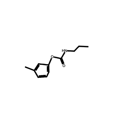 CCCNC(=O)Oc1cccc(C)c1